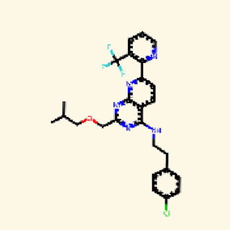 CC(C)COCc1nc(NCCc2ccc(Cl)cc2)c2ccc(-c3ncccc3C(F)(F)F)nc2n1